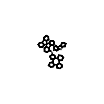 c1ccc2c(c1)-c1ccccc1-c1ccc(N(c3ccc4c(c3)sc3ccccc34)c3cccc4c3-c3ccccc3C43c4ccccc4-c4ccccc43)cc1-c1ccccc1-2